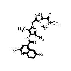 Cc1nn(Cc2noc(C(=O)N(C)C)n2)c(C)c1NC(=O)c1cc(C(F)(F)F)nc2ccc(Br)cc12